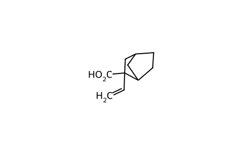 C=CC1(C(=O)O)CC2CCC1C2